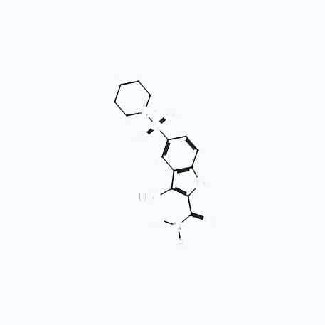 CCN(CC)C(=O)c1oc2ccc(S(=O)(=O)N3CCCCC3)cc2c1C